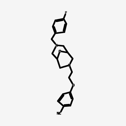 N#Cc1ccc(OCCN2CC3CN(Cc4ccc(F)cc4)CC(C2)O3)cc1